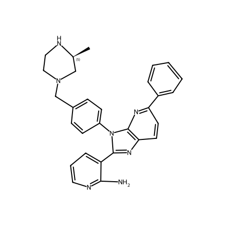 C[C@H]1CN(Cc2ccc(-n3c(-c4cccnc4N)nc4ccc(-c5ccccc5)nc43)cc2)CCN1